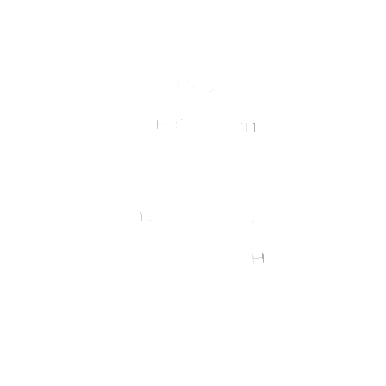 CSC(C)(C)C1CC(=O)C(c2cc(C)ccc2C)=C(O)C1